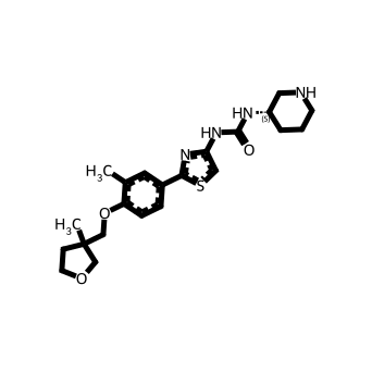 Cc1cc(-c2nc(NC(=O)N[C@H]3CCCNC3)cs2)ccc1OCC1(C)CCOC1